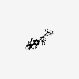 CCC(=O)NC[C@H]1CN(c2cc(F)c(C3[C@H]4COC[C@@H]34)c(F)c2)C(=O)O1